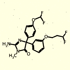 CN1C(=O)C(c2ccc(OC(F)F)cc2)(c2cccc(OCCC(F)F)c2)N=C1N